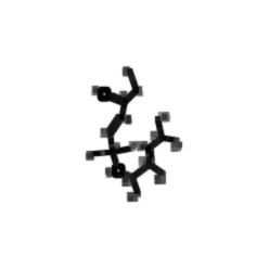 CCC(=O)C=CC(C)(C)OC(C)C(C)=CC(C)C